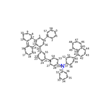 c1ccc(-c2cc(-c3ccccc3)c(-c3ccccc3)c(-c3cccc(-c4ccc(N(c5ccccc5)c5ccc(-c6cccc7ccccc67)cc5)cc4)c3)c2)cc1